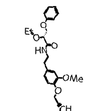 C#CCOc1ccc(CCNC(=O)[C@@H](COc2ccccc2)OCC)cc1OC